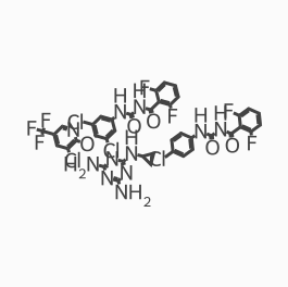 Nc1nc(N)nc(NC2CC2)n1.O=C(NC(=O)c1c(F)cccc1F)Nc1cc(Cl)c(Oc2ncc(C(F)(F)F)cc2Cl)c(Cl)c1.O=C(NC(=O)c1c(F)cccc1F)Nc1ccc(Cl)cc1